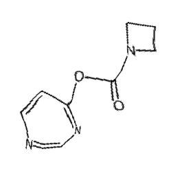 O=C(Oc1ccncn1)N1CCC1